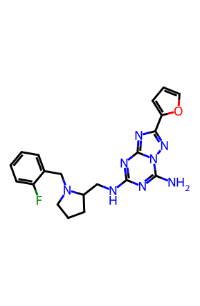 Nc1nc(NCC2CCCN2Cc2ccccc2F)nc2nc(-c3ccco3)nn12